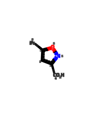 CC(C)c1cc(C(=O)O)no1